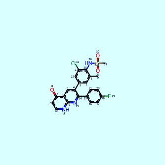 Cc1cc(-c2cc3c(=O)cc[nH]c3nc2-c2ccc(F)cc2)cc(Cl)c1NS(C)(=O)=O